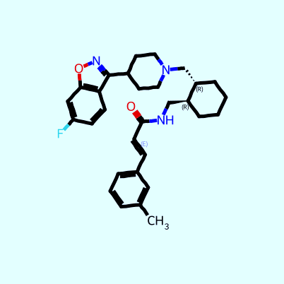 Cc1cccc(/C=C/C(=O)NC[C@@H]2CCCC[C@H]2CN2CCC(c3noc4cc(F)ccc34)CC2)c1